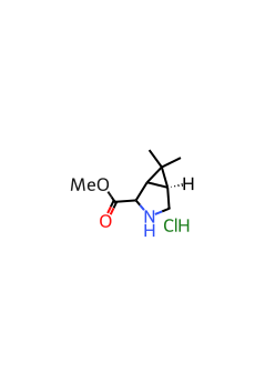 COC(=O)C1NC[C@H]2C1C2(C)C.Cl